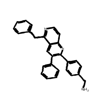 NCc1ccc(-c2nc3ccnc(Cc4ccccc4)c3cc2-c2ccccc2)cc1